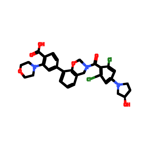 O=C(O)c1ccc(-c2cccc3c2OCN(C(=O)c2c(Cl)cc(N4CC[C@@H](O)C4)cc2Cl)C3)cc1N1CCOCC1